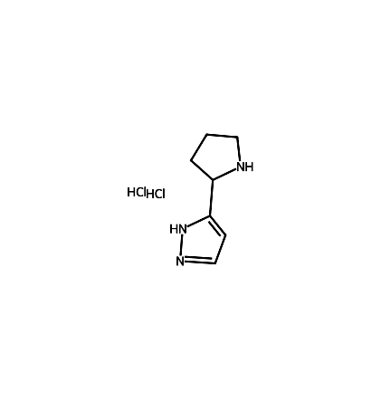 Cl.Cl.c1cc(C2CCCN2)[nH]n1